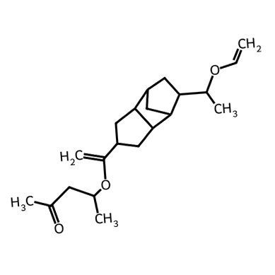 C=COC(C)C1CC2CC1C1CC(C(=C)OC(C)CC(C)=O)CC21